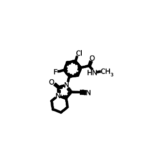 CNC(=O)c1cc(-n2c(C#N)c3n(c2=O)CCCC3)c(F)cc1Cl